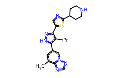 Cc1cc(-c2[nH]nc(-c3cnc(C4CCNCC4)s3)c2C(C)C)cn2ncnc12